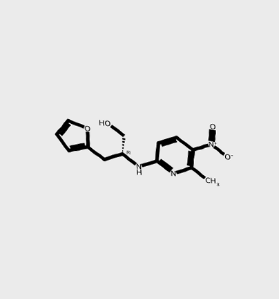 Cc1nc(N[C@@H](CO)Cc2ccco2)ccc1[N+](=O)[O-]